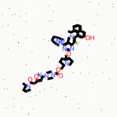 CCc1cccc2cc(O)cc(-c3ncc4c(N5CC6CCC(C5)N6)nc(OCC56CCCN5C(COC(=O)N5CCN(c7cc(CC(=O)N8CCCC8C)on7)CC5)CC6)nc4c3F)c12